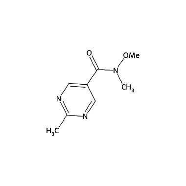 CON(C)C(=O)c1cnc(C)nc1